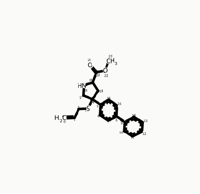 C=CCSC1(c2ccc(-c3ccccc3)cc2)CNC(C(=O)OC)C1